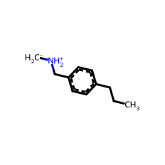 [CH2-][NH2+]Cc1ccc(CCC)cc1